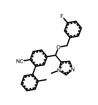 Cc1ccccc1-c1cc(C(OCc2cccc(F)c2)c2cncn2C)ccc1C#N